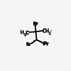 [CH2]C(C)(Br)C(Br)C(C)C